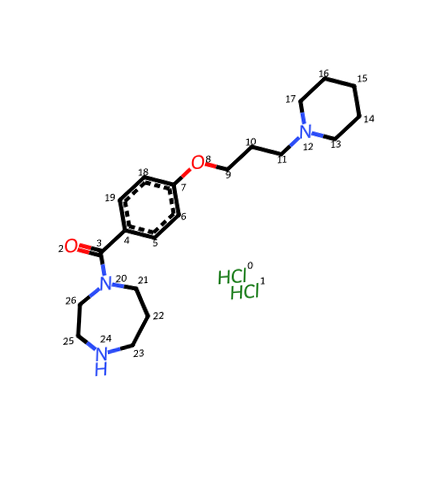 Cl.Cl.O=C(c1ccc(OCCCN2CCCCC2)cc1)N1CCCNCC1